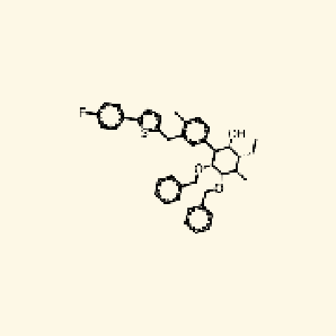 CC[C@@H]1[C@@H](C)[C@H](OCc2ccccc2)[C@@H](OCc2ccccc2)C(c2ccc(C)c(Cc3ccc(-c4ccc(F)cc4)s3)c2)[C@H]1O